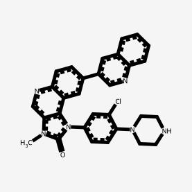 Cn1c(=O)n(-c2ccc(N3CCNCC3)c(Cl)c2)c2c3cc(-c4cnc5ccccc5c4)ccc3ncc21